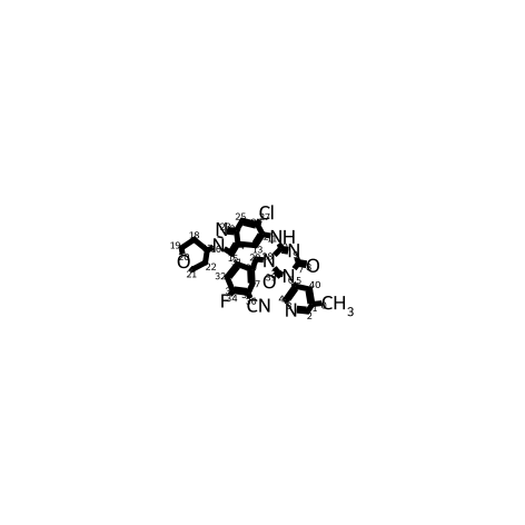 Cc1cncc(-n2c(=O)nc(Nc3cc4cn(C5CCOCC5)nc4cc3Cl)n(Cc3ccc(F)c(C#N)c3)c2=O)c1